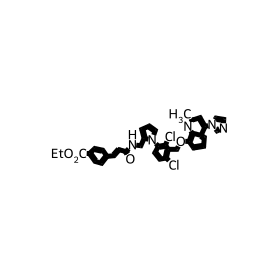 CCOC(=O)c1ccc(C=CC(=O)NCc2cccn2-c2ccc(Cl)c(COc3cccc4c(-n5ccnc5)cc(C)nc34)c2Cl)cc1